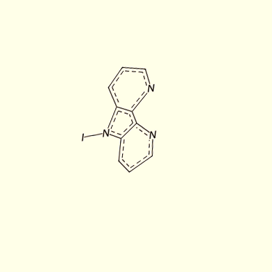 In1c2cccnc2c2ncccc21